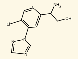 NC(CO)c1cc(-n2cncn2)c(Cl)cn1